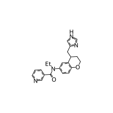 CCN(C(=O)c1cccnc1)c1ccc2c(c1)C(Cc1c[nH]cn1)CCO2